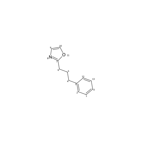 c1ccc(CCCc2ncco2)cc1